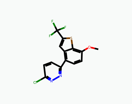 COc1ccc(-c2ccc(Cl)nn2)c2cc(C(F)(F)F)sc12